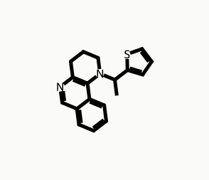 CC(c1cccs1)N1CCCc2ncc3ccccc3c21